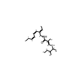 C\C=C(/C=C\C=C/CC)CNC(=O)/C(C)=C/SC(C)C(C)CC